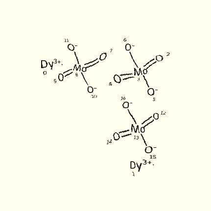 [Dy+3].[Dy+3].[O]=[Mo](=[O])([O-])[O-].[O]=[Mo](=[O])([O-])[O-].[O]=[Mo](=[O])([O-])[O-]